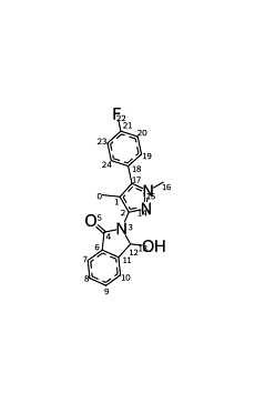 Cc1c(N2C(=O)c3ccccc3C2O)nn(C)c1-c1ccc(F)cc1